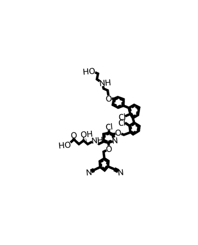 N#Cc1cc(C#N)cc(COc2nc(OCc3cccc(-c4cccc(-c5ccc(OCCNCCO)cc5)c4Cl)c3Cl)c(Cl)cc2CNC[C@@H](O)CC(=O)O)c1